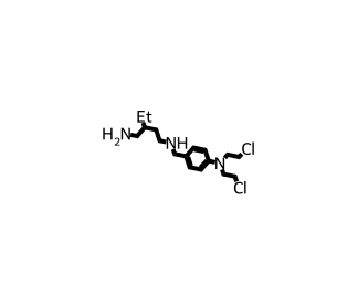 CCC(CN)CCNCc1ccc(N(CCCl)CCCl)cc1